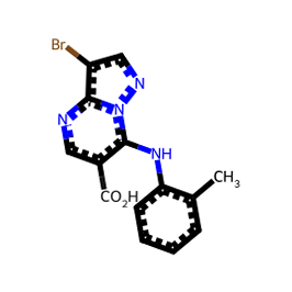 Cc1ccccc1Nc1c(C(=O)O)cnc2c(Br)cnn12